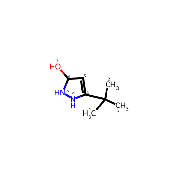 CC(C)(C)C1=CC(O)NN1